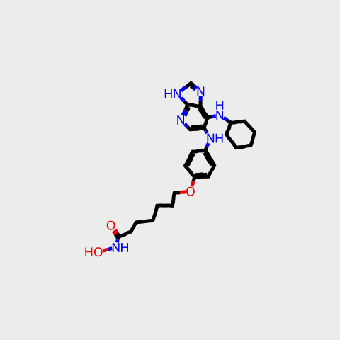 O=C(CCCCCCOc1ccc(Nc2cnc3[nH]cnc3c2NC2CCCCC2)cc1)NO